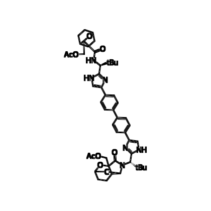 CC(=O)OCC1(C(=O)N[C@H](c2nc(-c3ccc(-c4ccc(-c5c[nH]c([C@@H](N6C(=O)C7(COC(C)=O)OC8CCC7C6C8)C(C)(C)C)n5)cc4)cc3)c[nH]2)C(C)(C)C)OC2CCC1CC2